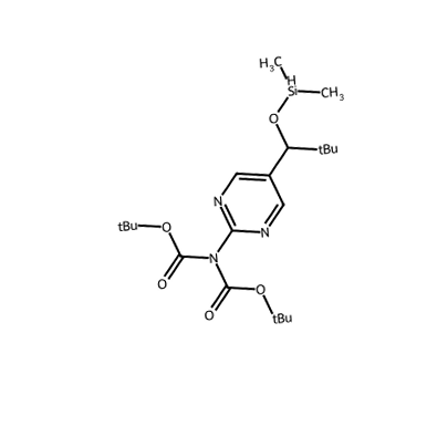 C[SiH](C)OC(c1cnc(N(C(=O)OC(C)(C)C)C(=O)OC(C)(C)C)nc1)C(C)(C)C